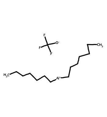 CCCCCC[CH2][Al+][CH2]CCCCCC.[O-]C(F)(F)F